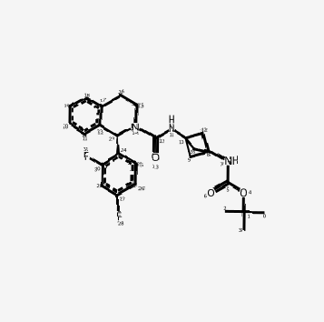 CC(C)(C)OC(=O)NC12CC(NC(=O)N3CCc4ccccc4[C@@H]3c3ccc(F)cc3F)(C1)C2